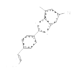 Cc1cc(C#N)cc2nc(-c3ccc(/C=C/C(=O)O)cc3)oc12